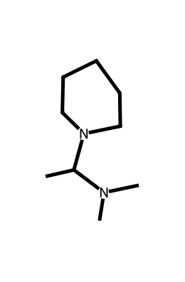 CC(N(C)C)N1CCCCC1